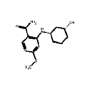 CSc1ncc(C(N)=O)c(N[C@@H]2CCC[C@@H](O)C2)n1